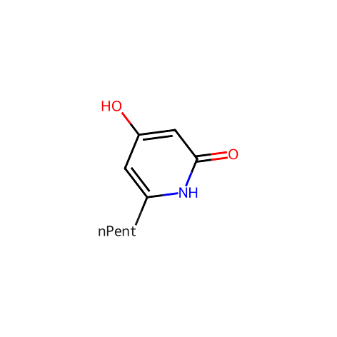 CCCCCc1cc(O)cc(=O)[nH]1